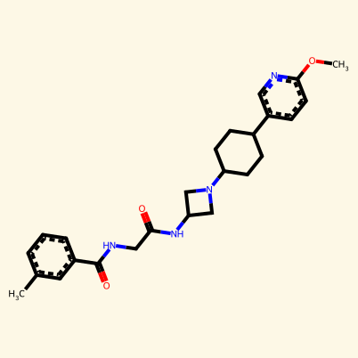 COc1ccc(C2CCC(N3CC(NC(=O)CNC(=O)c4cccc(C)c4)C3)CC2)cn1